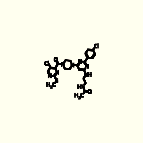 CSc1ncc(Cl)c(C(=O)N2CCN(c3cc(NCCNC(C)=O)nc(-c4ccc(Cl)cc4)n3)CC2)n1